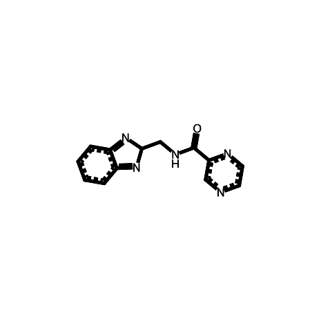 O=C(NCC1N=c2ccccc2=N1)c1cnccn1